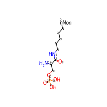 CCCCCCCCCCCCCCNC(=O)C(N)COP(=O)(O)O